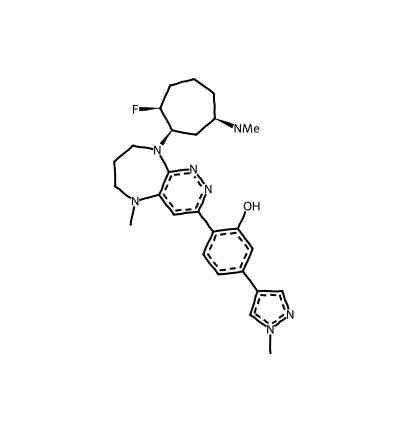 CN[C@@H]1CCC[C@H](F)[C@H](N2CCCN(C)c3cc(-c4ccc(-c5cnn(C)c5)cc4O)nnc32)C1